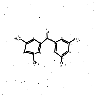 Cc1cc(C)cc(C(O)c2cc(C)cc(C)c2)c1